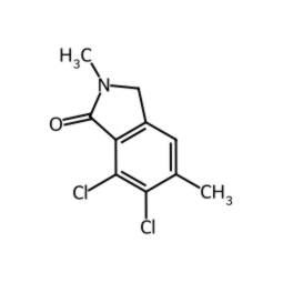 Cc1cc2c(c(Cl)c1Cl)C(=O)N(C)C2